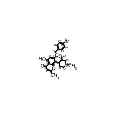 Cc1cc(=O)c2c(O)cc(OCc3ccc(Br)cc3)c(C3CCN(C)CC3O)c2o1